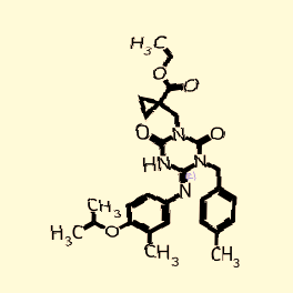 CCOC(=O)C1(Cn2c(=O)[nH]/c(=N\c3ccc(OC(C)C)c(C)c3)n(Cc3ccc(C)cc3)c2=O)CC1